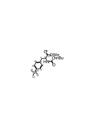 CCCCOC(=O)NC(Cc1cc[c]([Sn]([CH3])([CH3])[CH3])cc1)C(=O)OC